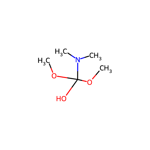 COC(O)(OC)N(C)C